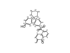 C=C1C=Cc2c(cccc2S(=O)(=O)c2ccc(C3(c4ccc(O)cc4)CCCCC3)cc2)C1=O